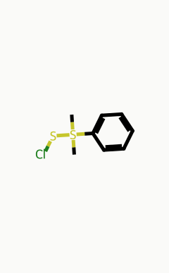 CS(C)(SCl)c1ccccc1